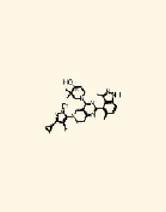 CCn1nc(C2CC2)c(F)c1N1CCc2nc(-c3c(C)ccc4[nH]nc(C)c34)nc(N3CC[C@@H](O)C(C)(C)C3)c2C1